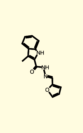 Cc1c(C(=O)NN=Cc2ccco2)[nH]c2ccccc12